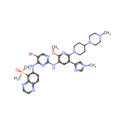 COc1nc(N2CCC(N3CCN(C)CC3)CC2)c(-c2cn(C)cn2)cc1Nc1ncc(Br)c(Nc2ccc3nccnc3c2P(C)(C)=O)n1